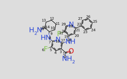 NC(=O)c1cc(F)c(NC2CCCC[C@@H]2N)nc1Nc1cc(-c2ccccc2)ncc1F